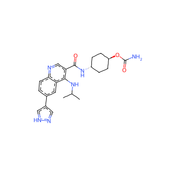 CC(C)Nc1c(C(=O)N[C@H]2CC[C@H](OC(N)=O)CC2)cnc2ccc(-c3cn[nH]c3)cc12